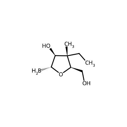 B[C@H]1O[C@H](CO)[C@@](C)(CC)[C@@H]1O